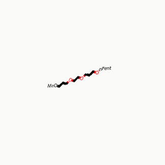 CCCCCOCCCOCCOCCCOC